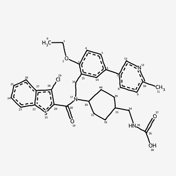 CCOc1ccc(-c2ccc(C)nc2)cc1CN(C(=O)c1sc2ccccc2c1Cl)C1CCC(CNC(=O)O)CC1